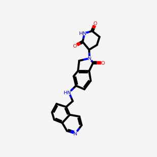 O=C1CCC(N2Cc3cc(NCc4cccc5cnccc45)ccc3C2=O)C(=O)N1